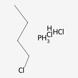 CCCCCl.Cl.Cl.P